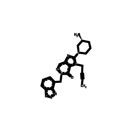 CC#CCn1c(N2CCC[C@@H](N)C2)nc2cnn(Cc3cccc4nsnc34)c(=O)c21